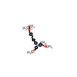 C=C(C)C(=O)OCCc1ccc(CCc2ccc(-c3ccc(N(c4ccc(CCOC)cc4)c4ccc(CCOOC)c(C)c4)cc3)cc2)cc1